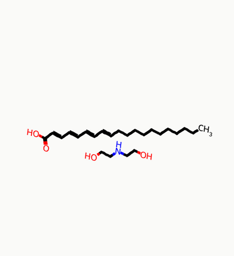 CCCCCCCCCCCC=CC=CC=CC=CC(=O)O.OCCNCCO